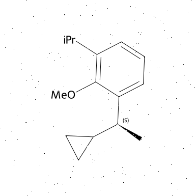 COc1c(C(C)C)cccc1[C@@H](C)C1CC1